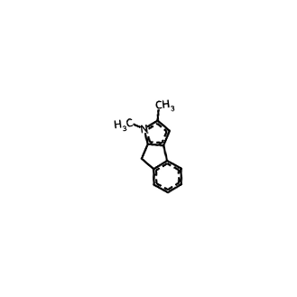 Cc1cc2c(n1C)Cc1ccccc1-2